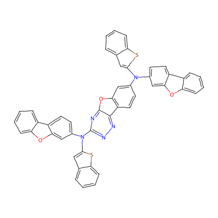 c1ccc2sc(N(c3ccc4c(c3)oc3ccccc34)c3ccc4c(c3)oc3nc(N(c5ccc6c(c5)oc5ccccc56)c5cc6ccccc6s5)nnc34)cc2c1